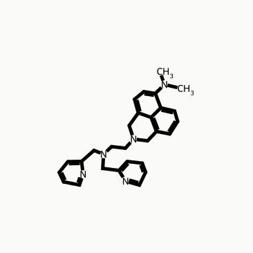 CN(C)c1ccc2c3c(cccc13)CN(CCN(Cc1ccccn1)Cc1ccccn1)C2